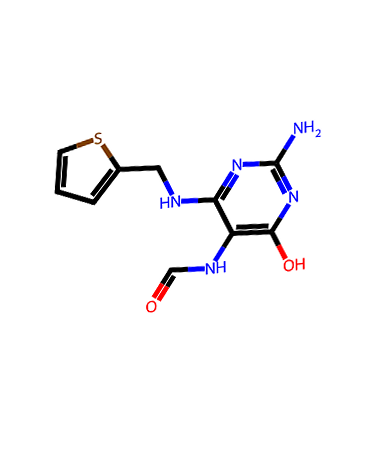 Nc1nc(O)c(NC=O)c(NCc2cccs2)n1